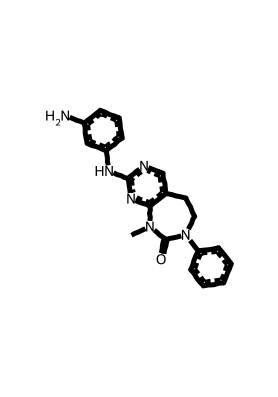 CN1C(=O)N(c2ccccc2)CCc2cnc(Nc3cccc(N)c3)nc21